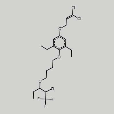 CCc1cc(OCC=C(Cl)Cl)cc(CC)c1OCCCCOC(CC)C(Cl)C(F)(F)F